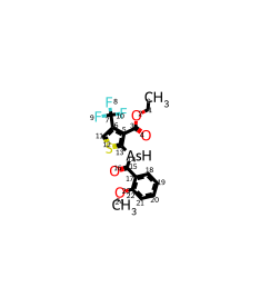 CCOC(=O)c1c(C(F)(F)F)csc1[AsH]C(=O)c1ccccc1OC